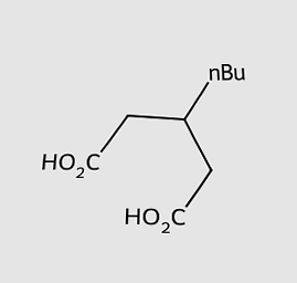 CCCCC(CC(=O)O)CC(=O)O